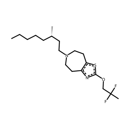 CCCCC[C@H](C)CCN1CCc2nc(OCC(C)(F)F)sc2CC1